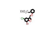 CCOC(=O)Cc1ccccc1OCc1coc2c(Br)cc(Cl)cc12